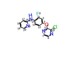 Fc1cc(Oc2nccnc2Cl)ccc1Nc1ccccn1